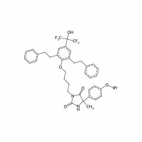 CC(C)Oc1ccc(C2(C)NC(=O)N(CCCCOc3c(CCc4ccccc4)cc(C(O)(C(F)(F)F)C(F)(F)F)cc3CCc3ccccc3)C2=O)cc1